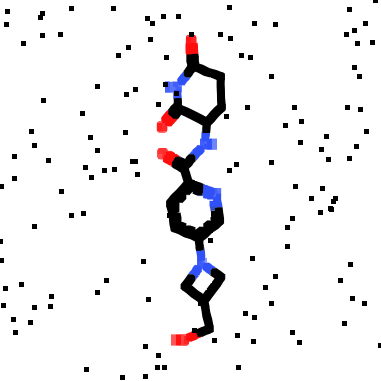 O=C1CCC(NC(=O)c2ccc(N3CC(CO)C3)cn2)C(=O)N1